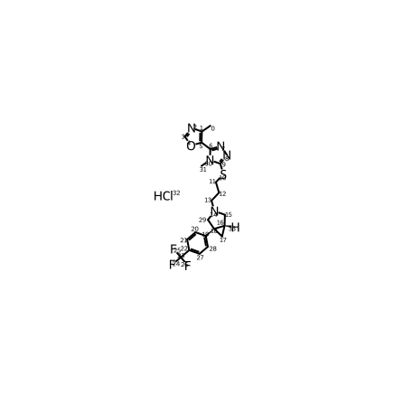 Cc1ncoc1-c1nnc(SCCCN2C[C@@H]3C[C@]3(c3ccc(C(F)(F)F)cc3)C2)n1C.Cl